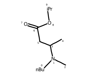 CCCCN(C)C(C)CC(=O)OC(C)C